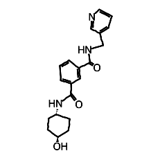 O=C(NCc1cccnc1)c1cccc(C(=O)N[C@H]2CC[C@H](O)CC2)c1